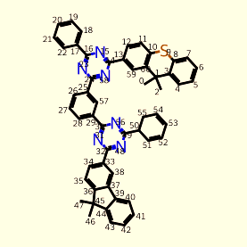 CC1(C)c2ccccc2Sc2ccc(-c3nc(-c4ccccc4)nc(-c4cccc(-c5nc(-c6ccc7c(c6)-c6ccccc6C7(C)C)nc(C6C=CC=CC6)n5)c4)n3)cc21